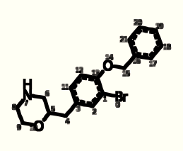 Brc1cc(CC2CNCCO2)ccc1OCc1ccccc1